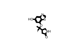 CC(I)(Oc1cc(O)cc2ncsc12)C1CNC(=O)C1